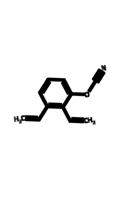 C=Cc1cccc(OC#N)c1C=C